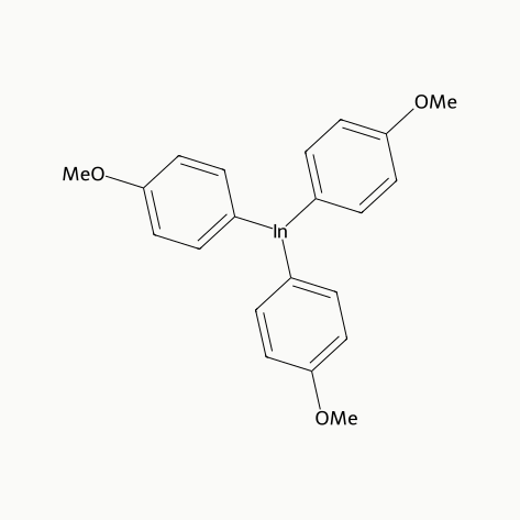 COc1cc[c]([In]([c]2ccc(OC)cc2)[c]2ccc(OC)cc2)cc1